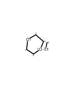 C1COCCO1.[CH2]CC